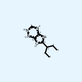 CCC(CC)c1nc2ncnnc2o1